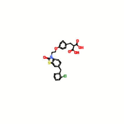 O=C(O)C(Cc1ccc(OCCn2c(=O)sc3cc(Cc4ccccc4Cl)ccc32)cc1)C(=O)O